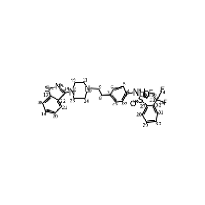 O=S(=O)(Nc1ccc(CCN2CCN(c3nsc4ccccc34)CC2)cc1)c1ccccc1C(F)(F)F